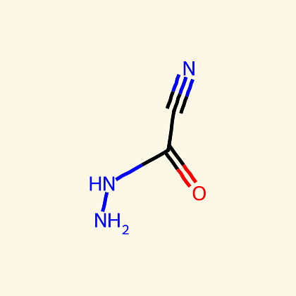 N#CC(=O)NN